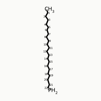 CCCCCCCCCCCCCCCCCCCCCCCP